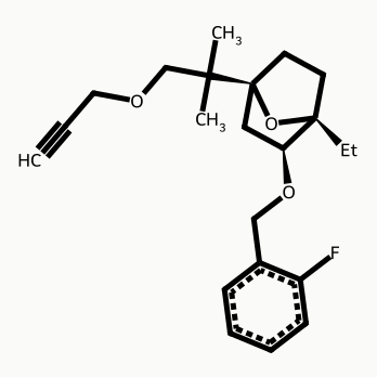 C#CCOCC(C)(C)[C@@]12CC[C@@](CC)(O1)[C@@H](OCc1ccccc1F)C2